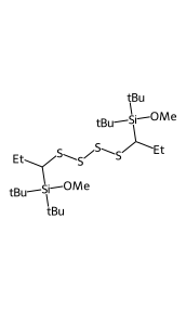 CCC(SSSSC(CC)[Si](OC)(C(C)(C)C)C(C)(C)C)[Si](OC)(C(C)(C)C)C(C)(C)C